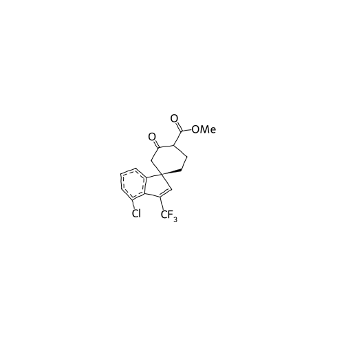 COC(=O)C1CC[C@]2(C=C(C(F)(F)F)c3c(Cl)cccc32)CC1=O